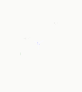 CC(C)C1CCCC(C(F)F)N1C